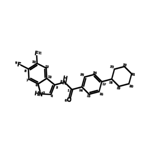 O=C(Nc1c[nH]c2cc(F)c(F)cc12)c1ccc(C2CCCCC2)cc1